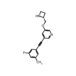 Cc1cc(F)cc(C#Cc2cncc(OC[C@@H]3CCN3)c2)c1